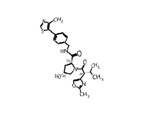 Cc1nc([C@H](C(=O)N2C[C@H](O)C[C@H]2C(=O)NCc2ccc(-c3scnc3C)cc2)C(C)C)co1